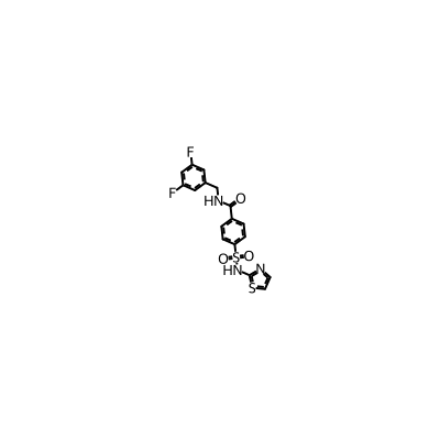 O=C(NCc1cc(F)cc(F)c1)c1ccc(S(=O)(=O)Nc2nccs2)cc1